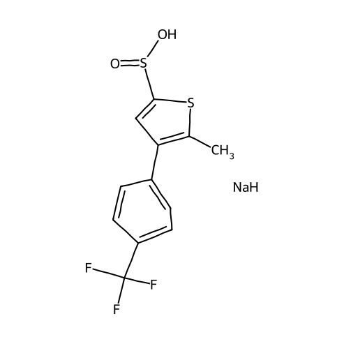 Cc1sc(S(=O)O)cc1-c1ccc(C(F)(F)F)cc1.[NaH]